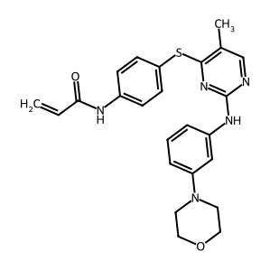 C=CC(=O)Nc1ccc(Sc2nc(Nc3cccc(N4CCOCC4)c3)ncc2C)cc1